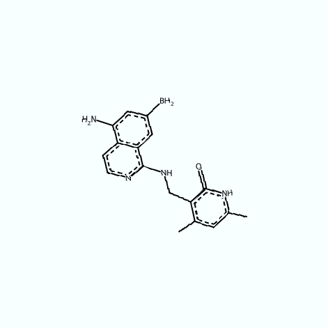 Bc1cc(N)c2ccnc(NCc3c(C)cc(C)[nH]c3=O)c2c1